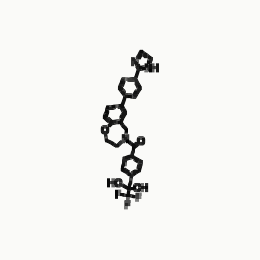 O=C(c1ccc(C(O)(O)C(F)(F)F)cc1)N1CCOc2ccc(-c3ccc(-c4ncc[nH]4)cc3)cc2C1